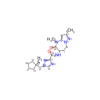 Cc1cc2n(n1)CC[C@H](NC(=O)c1ncn(CC3(C)CCCC3)n1)C(=O)N2C